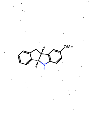 COc1ccc2c(c1)[C@H]1Cc3ccccc3[C@H]1N2